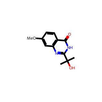 COc1ccc2c(=O)[nH]c(C(C)(C)O)nc2c1